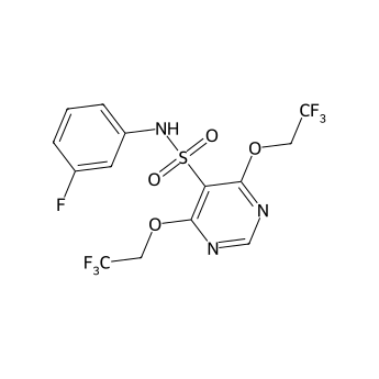 O=S(=O)(Nc1cccc(F)c1)c1c(OCC(F)(F)F)ncnc1OCC(F)(F)F